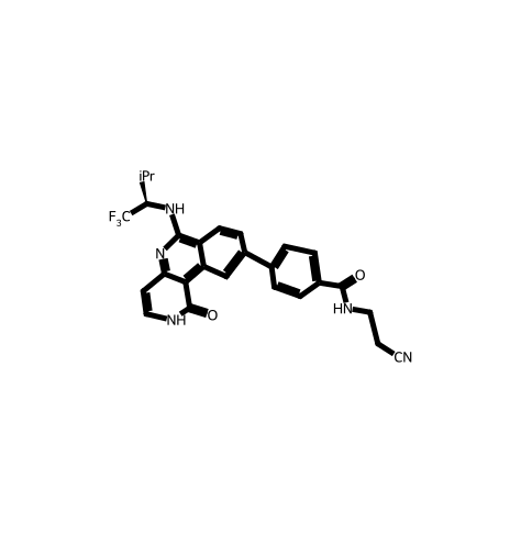 CC(C)[C@@H](Nc1nc2cc[nH]c(=O)c2c2cc(-c3ccc(C(=O)NCCC#N)cc3)ccc12)C(F)(F)F